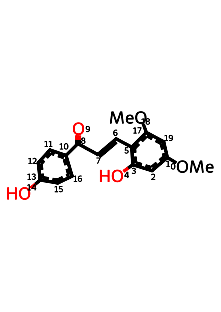 COc1cc(O)c(/C=C/C(=O)c2ccc(O)cc2)c(OC)c1